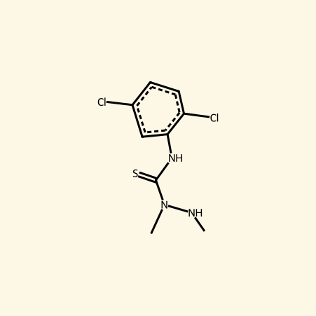 CNN(C)C(=S)Nc1cc(Cl)ccc1Cl